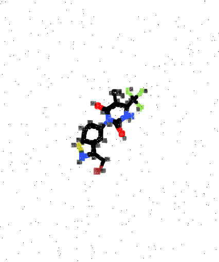 Cc1c(C(F)(F)F)[nH]c(=O)n(-c2ccc3snc(CBr)c3c2)c1=O